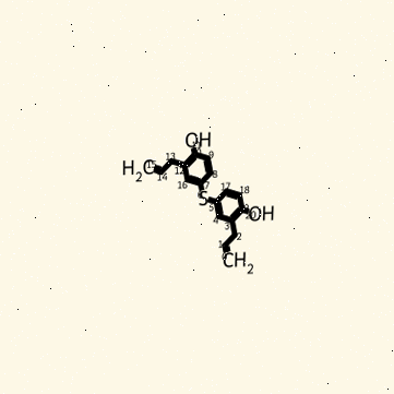 C=CCc1cc(Sc2ccc(O)c(CC=C)c2)ccc1O